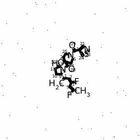 C=C(/C=C(F)\C=C(/C)F)[C@@H]1CC[C@H]2OC3(CCN(C(=O)c4cnsc4)CC3)C(=O)N21